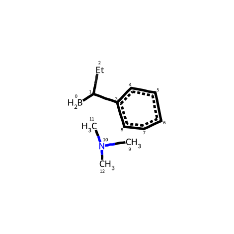 BC(CC)c1ccccc1.CN(C)C